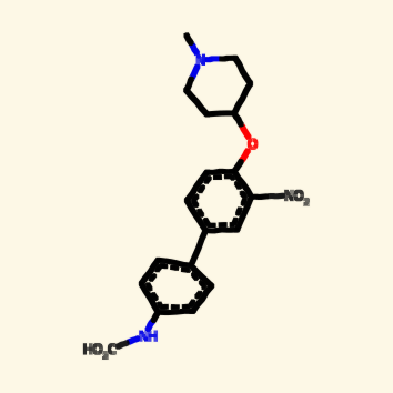 CN1CCC(Oc2ccc(-c3ccc(NC(=O)O)cc3)cc2[N+](=O)[O-])CC1